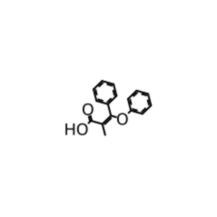 C/C(C(=O)O)=C(\Oc1ccccc1)c1ccccc1